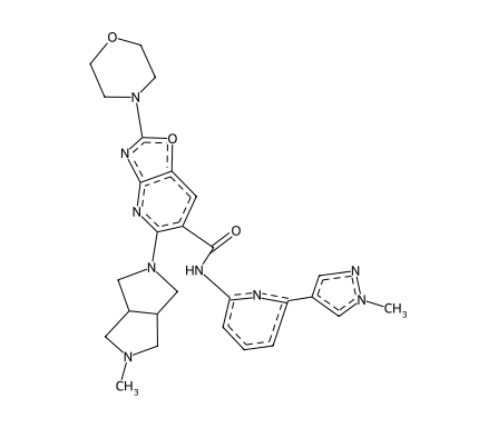 CN1CC2CN(c3nc4nc(N5CCOCC5)oc4cc3C(=O)Nc3cccc(-c4cnn(C)c4)n3)CC2C1